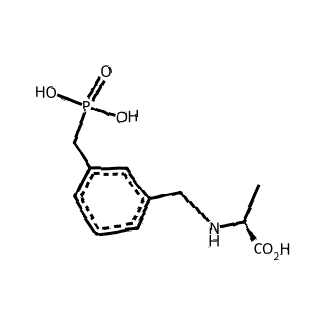 C[C@H](NCc1cccc(CP(=O)(O)O)c1)C(=O)O